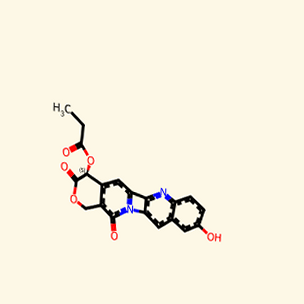 CCC(=O)O[C@@H]1C(=O)OCc2c1cc1n(c2=O)-c2cc3cc(O)ccc3nc2-1